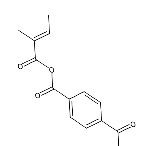 CC=C(C)C(=O)OC(=O)c1ccc(C(=O)O)cc1